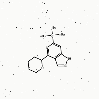 CCC[CH2][Sn]([CH2]CCC)([CH2]CCC)[c]1cc2[nH]ncc2c(C2CCCCO2)n1